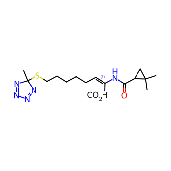 CC1(SCCCCC/C=C(/NC(=O)C2CC2(C)C)C(=O)O)N=NN=N1